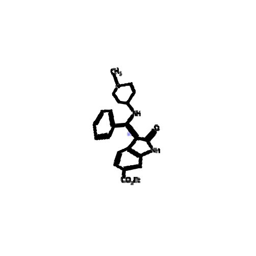 CCOC(=O)c1ccc2c(c1)NC(=O)/C2=C(\NC1CCN(C)CC1)c1ccccc1